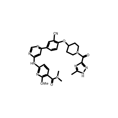 COc1nc(Nc2cc(-c3ccc(OC4CCN(C(=O)c5n[nH]c(C)n5)CC4)c(C#N)c3)ncn2)ccc1C(=O)N(C)C